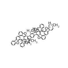 C=C/C=C\c1c(C)oc2c(N(c3ccccc3C)c3cc4c(c5oc6ccccc6c35)-c3cc5c(cc3[Si]4(C)C)-c3c(cc(N(c4ccccc4C)c4cccc6c4oc4ccccc46)c4c3oc3ccccc34)[Si]5(C)C)cccc12